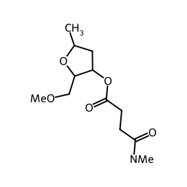 CNC(=O)CCC(=O)OC1CC(C)OC1COC